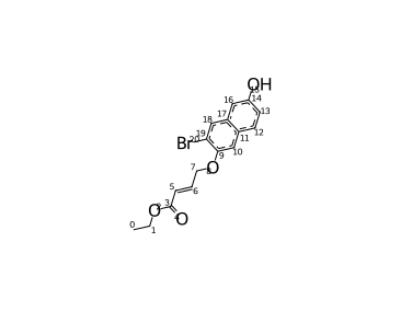 CCOC(=O)/C=C/COc1cc2ccc(O)cc2cc1Br